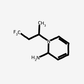 CC(CC(F)(F)F)N1C=CC=CC1N